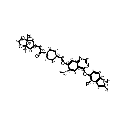 COc1cc2c(Oc3ccc4[nH]c(C)cc4c3F)ncnc2cc1OCC1CCN(C(=O)CN2C[C@@H]3OCO[C@@H]3C2)CC1